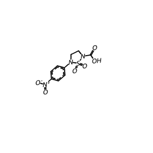 O=C(O)N1CCN(c2ccc([N+](=O)[O-])cc2)S1(=O)=O